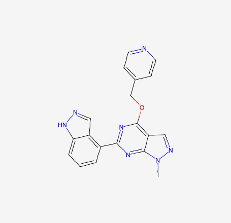 Cn1ncc2c(OCc3ccncc3)nc(-c3cccc4[nH]ncc34)nc21